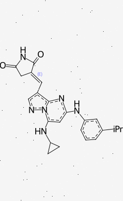 CC(C)c1cccc(Nc2cc(NC3CC3)n3ncc(/C=C4\CC(=O)NC4=O)c3n2)c1